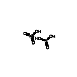 O=[Si](O)O.[O]=[Nb](=[O])[OH]